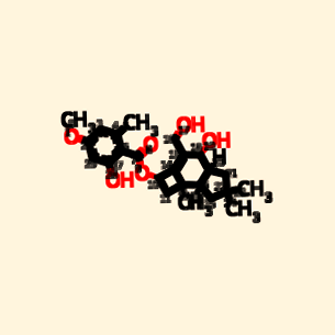 COc1cc(C)c(C(=O)O[C@@H]2C[C@@]3(C)C2=C(CO)[C@@H](O)[C@@H]2CC(C)(C)C[C@@H]23)c(O)c1